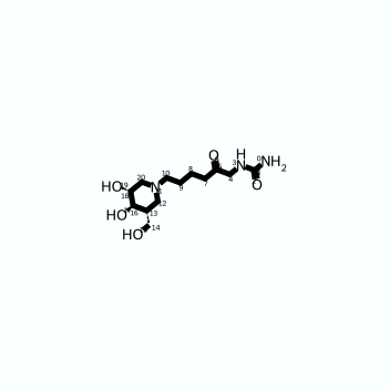 NC(=O)NCC(=O)CCCCN1C[C@H](CO)[C@@H](O)[C@H](O)C1